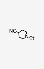 [CH2]CN1CCC(C#N)CC1